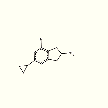 [2H]c1cc(C2CC2)cc2c1CC(N)C2